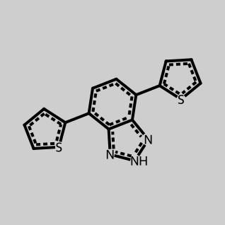 c1csc(-c2ccc(-c3cccs3)c3n[nH]nc23)c1